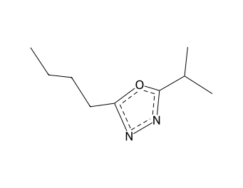 CCCCc1nnc(C(C)C)o1